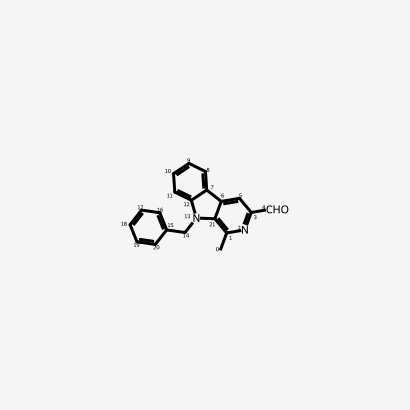 Cc1nc(C=O)cc2c3ccccc3n(Cc3ccccc3)c12